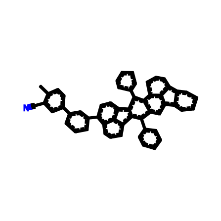 Cc1ccc(-c2cccc(-c3ccc4c5c(-c6ccccc6)c6c(cc7c8ccccc8c8cccc6c87)c(-c6ccccc6)c5c5cccc3c54)c2)cc1C#N